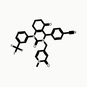 Cn1ccc(CN2C(=O)N(c3cccc(C(F)(F)F)c3)C3=C(C(=O)CCC3)C2c2ccc(C#N)cc2)cc1=O